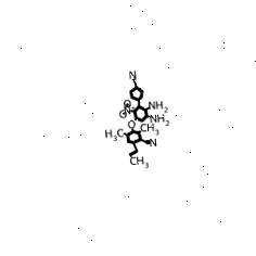 CC=Cc1cc(C)c(Oc2cc(N)c(N)c(-c3ccc(C#N)cc3)c2[N+](=O)[O-])c(C)c1C#N